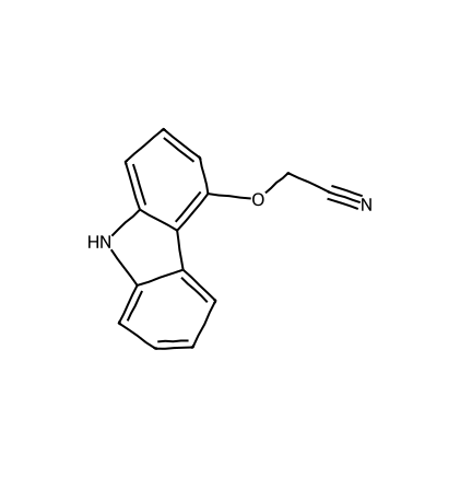 N#CCOc1cccc2[nH]c3ccccc3c12